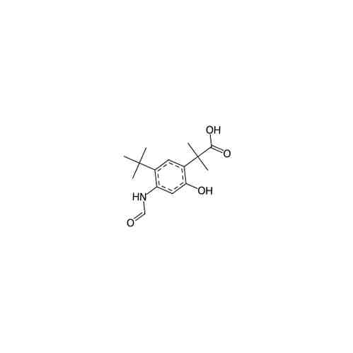 CC(C)(C)c1cc(C(C)(C)C(=O)O)c(O)cc1NC=O